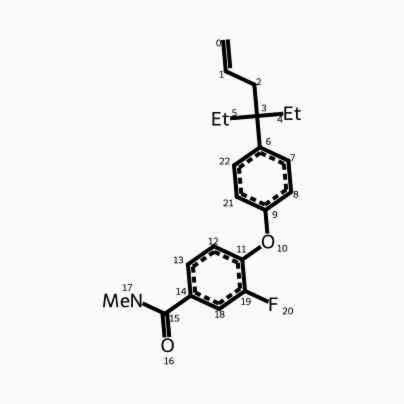 C=CCC(CC)(CC)c1ccc(Oc2ccc(C(=O)NC)cc2F)cc1